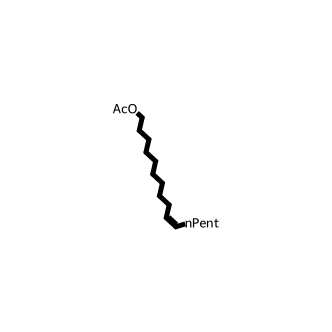 CCCCC/C=C\CCCCCCCCCOC(C)=O